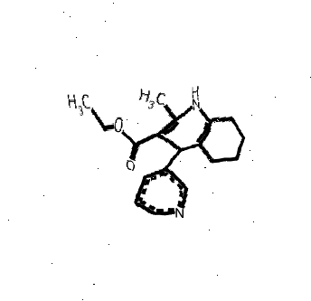 CCOC(=O)C1=C(C)NC2=C(CCCC2)C1c1cccnc1